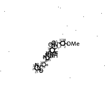 COc1ccc(CN2Cc3c(ccc(Nc4cc([C@@H]5CC[C@H](n6ncccc6=O)C5)nn4C(C)(C)C)c3F)S2(=O)=O)cc1